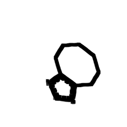 [c]1nc2c(s1)CCCCCC2